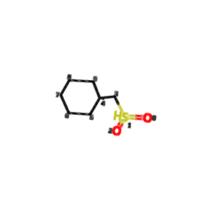 O=[SH](=O)C[C]1CCCCC1